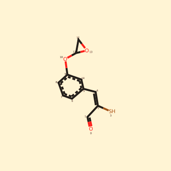 O=C/C(S)=C\c1cccc(OC2CO2)c1